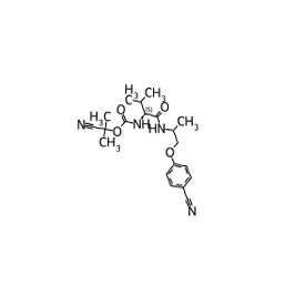 CC(COc1ccc(C#N)cc1)NC(=O)[C@@H](NC(=O)OC(C)(C)C#N)C(C)C